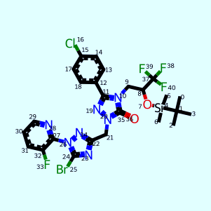 CC(C)(C)[Si](C)(C)OC(Cn1c(-c2ccc(Cl)cc2)nn(Cc2nc(Br)n(-c3ncccc3F)n2)c1=O)C(F)(F)F